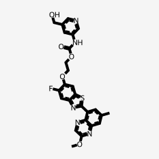 COc1cnc2c(-c3nc4cc(F)c(OCCOC(=O)Nc5cncc(CO)c5)cc4s3)cc(C)cc2n1